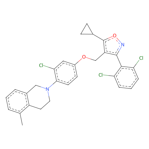 Cc1cccc2c1CCN(c1ccc(OCc3c(-c4c(Cl)cccc4Cl)noc3C3CC3)cc1Cl)C2